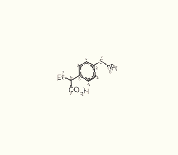 CCCSc1ccc(C(CC)C(=O)O)cc1